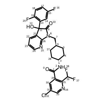 O=C(N[C@H]1CC[C@H](CN2C(=O)C(O)(c3cc(F)ccc3F)c3cccnc32)CC1)c1cc(Cl)cnc1C(F)F